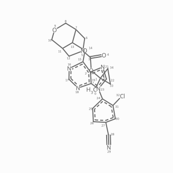 CC1(OC(=O)N2CC3COCC(C2)C3Oc2ncnc3c2ncn3-c2ccc(C#N)cc2Cl)CC1